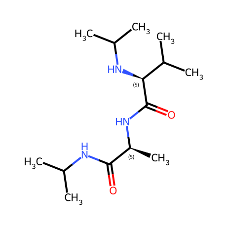 CC(C)NC(=O)[C@H](C)NC(=O)[C@@H](NC(C)C)C(C)C